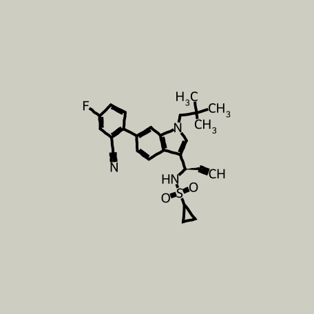 C#C[C@@H](NS(=O)(=O)C1CC1)c1cn(CC(C)(C)C)c2cc(-c3ccc(F)cc3C#N)ccc12